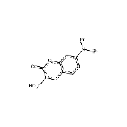 CC(C)N(c1ccc2cc(C(=O)O)c(=O)oc2c1)C(C)C